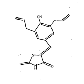 C=CCc1cc(/C=C2\SC(=S)NC2=O)cc(CC=C)c1O